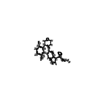 NC(=O)c1cnn2ccc(N3CCOCC3c3cc(F)ccc3F)nc12